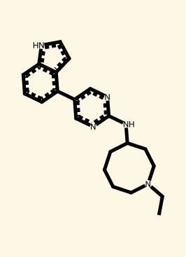 CCN1CCCCC(Nc2ncc(-c3cccc4[nH]ccc34)cn2)CC1